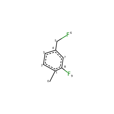 Cc1ccc(CF)cc1F